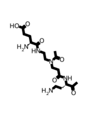 CC(=O)[C@H](CCN)NC(=O)CCN(CCNC(=O)[C@H](N)CCC(=O)O)C(C)=O